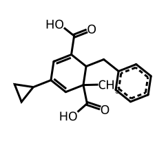 CC1(C(=O)O)C=C(C2CC2)C=C(C(=O)O)C1Cc1ccccc1